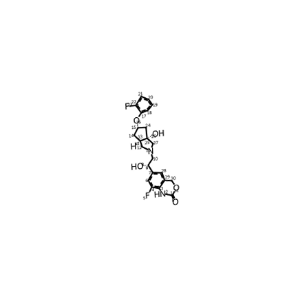 O=C1Nc2c(F)cc([C@H](O)CN3C[C@H]4C[C@H](Oc5ccccc5F)C[C@@]4(O)C3)cc2CO1